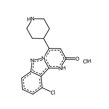 Cl.O=c1cc(C2CCNCC2)n2nc3cccc(Cl)c3c2[nH]1